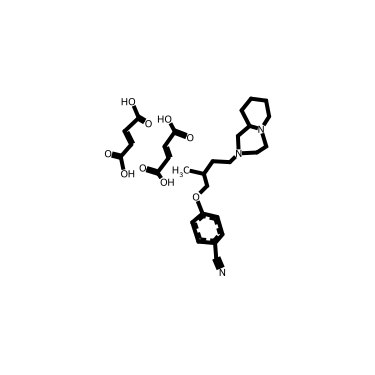 CC(CCN1CCN2CCCCC2C1)COc1ccc(C#N)cc1.O=C(O)C=CC(=O)O.O=C(O)C=CC(=O)O